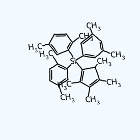 CC1=C(C)C(C)C([Si](c2cc(C)cc(C)c2)(c2cc(C)ccc2C)c2cc(C)ccc2C)=C1C